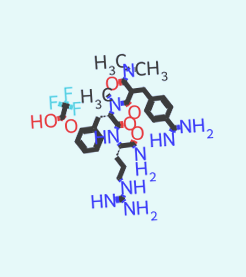 CN(C)C(=O)C(Cc1ccc(C(=N)N)cc1)C(=O)N(C)[C@@H](Cc1ccccc1)C(=O)N[C@@H](CCCNC(=N)N)C(N)=O.O=C(O)C(F)(F)F